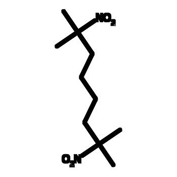 CC(C)(CCCCC(C)(C)[N+](=O)[O-])[N+](=O)[O-]